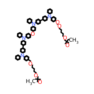 CCC1(COCCCCCOCOc2ccc(N(c3ccccc3)c3ccc(-c4ccc(N(c5ccccc5)c5ccc(Oc6ccc(N(c7ccccc7)c7ccc(-c8ccc(N(c9ccccc9)c9ccc(COCCCCCOCC%10(CC)COC%10)cc9)cc8)cc7)cc6)cc5)cc4)cc3)cc2)COC1